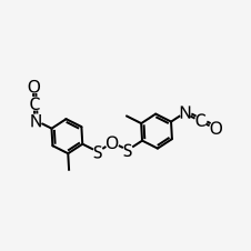 Cc1cc(N=C=O)ccc1SOSc1ccc(N=C=O)cc1C